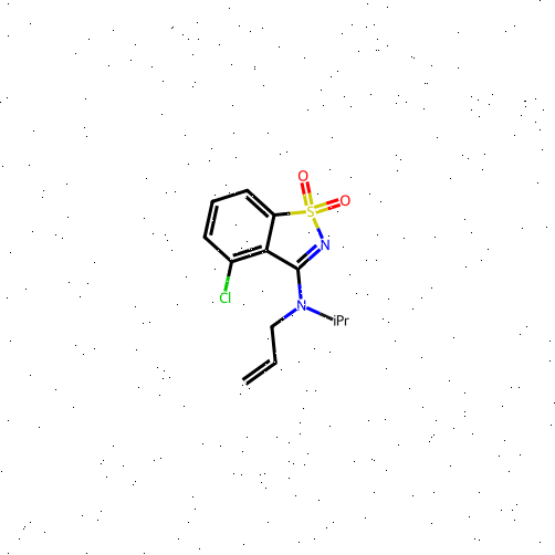 C=CCN(C1=NS(=O)(=O)c2cccc(Cl)c21)C(C)C